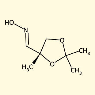 CC1(C)OC[C@@](C)(C=NO)O1